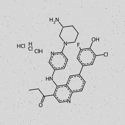 CCC(=O)c1cnc2ccc(-c3cc(F)c(O)c(Cl)c3)cc2c1Nc1ccc(N2CCCC(N)C2)nc1.Cl.Cl.Cl